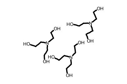 OCCN(CCO)CCO.OCCN(CCO)CCO.OCCN(CCO)CCO